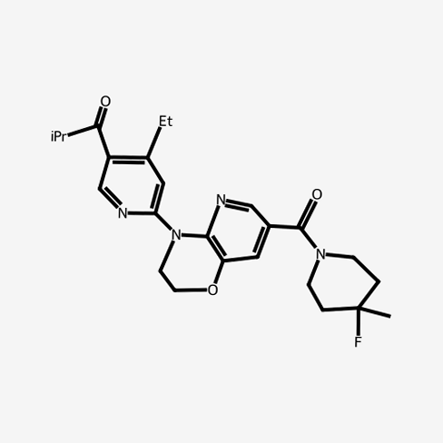 CCc1cc(N2CCOc3cc(C(=O)N4CCC(C)(F)CC4)cnc32)ncc1C(=O)C(C)C